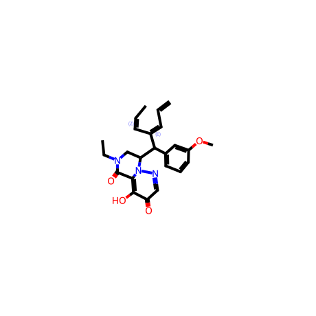 C=C/C=C(\C=C/C)C(c1cccc(OC)c1)C1CN(CC)C(=O)c2c(O)c(=O)cnn21